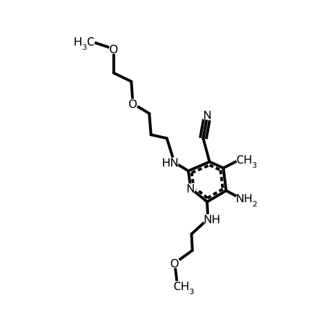 COCCNc1nc(NCCCOCCOC)c(C#N)c(C)c1N